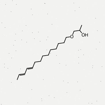 C/C=C/C=C/CCCCCCCCCOCC(C)O